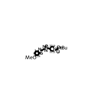 COc1ccc2nc(-c3noc(C4CCN(C(=O)OC(C)(C)C)CC4)n3)sc2c1